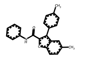 Cc1ccc(-c2c(C(=O)Nc3ccccc3)oc3ccc(C)cc23)cc1